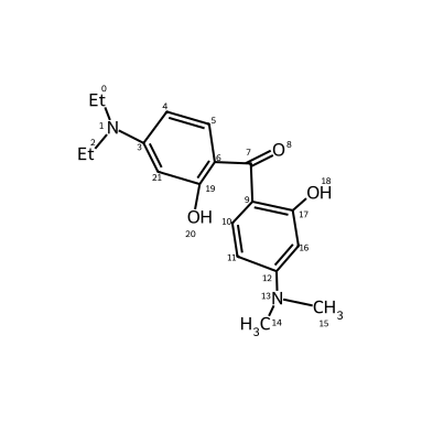 CCN(CC)c1ccc(C(=O)c2ccc(N(C)C)cc2O)c(O)c1